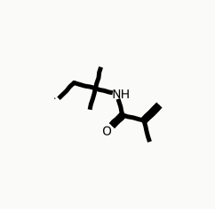 [CH2]CC(C)(C)NC(=O)C(=C)C